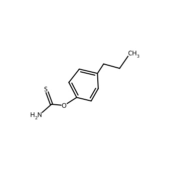 CCCc1ccc(OC(N)=S)cc1